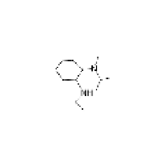 CCNC1CCCCC1N(C)C(C)C